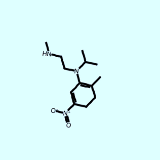 CNCCN(C1=C(C)CCC([N+](=O)[O-])=C1)C(C)C